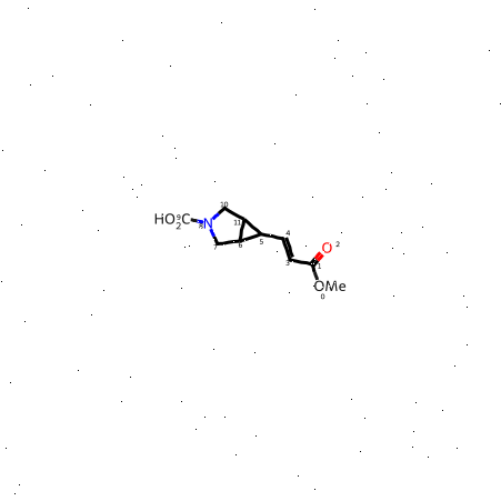 COC(=O)/C=C/C1C2CN(C(=O)O)CC12